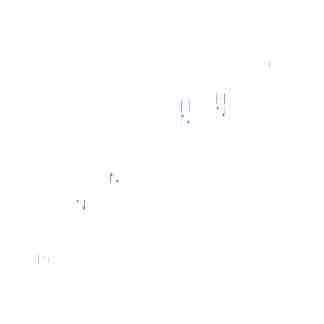 CC(C)(C)OC(=O)N1CCN(c2ccc(NC(=O)Nc3ccccc3OC(F)(F)F)cc2)CC1